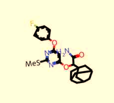 CSc1nc(Oc2ccc(F)cc2)cc(OC(C(N)=O)C23CC4CC(CC(C4)C2)C3)n1